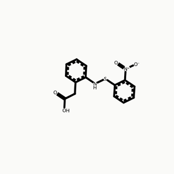 O=C(O)Cc1ccccc1NSc1ccccc1[N+](=O)[O-]